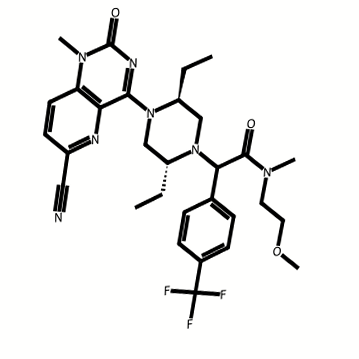 CC[C@H]1CN(C(C(=O)N(C)CCOC)c2ccc(C(F)(F)F)cc2)[C@H](CC)CN1c1nc(=O)n(C)c2ccc(C#N)nc12